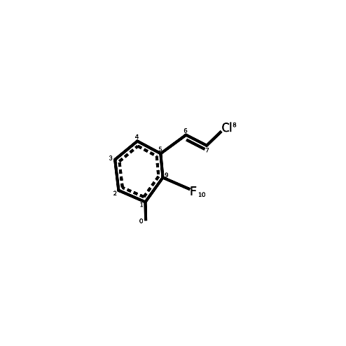 Cc1cccc(C=CCl)c1F